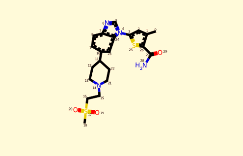 Cc1cc(-n2cnc3ccc(C4CCN(CCS(C)(=O)=O)CC4)cc32)sc1C(N)=O